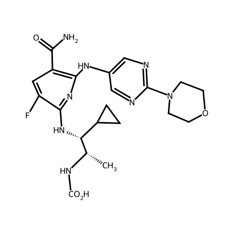 C[C@H](NC(=O)O)[C@H](Nc1nc(Nc2cnc(N3CCOCC3)nc2)c(C(N)=O)cc1F)C1CC1